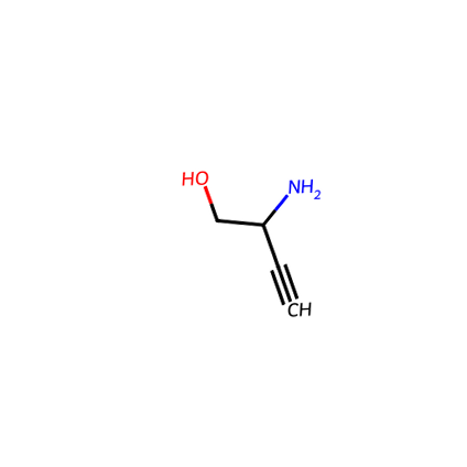 C#CC(N)CO